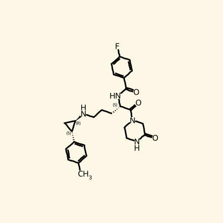 Cc1ccc([C@@H]2C[C@H]2NCCC[C@H](NC(=O)c2ccc(F)cc2)C(=O)N2CCNC(=O)C2)cc1